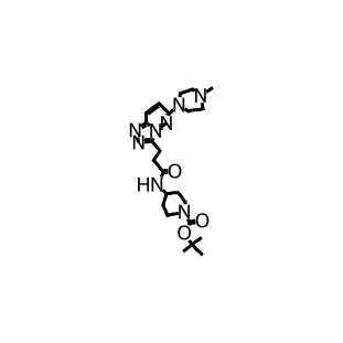 CN1CCN(c2ccc3nnc(CCC(=O)NC4CCN(C(=O)OC(C)(C)C)CC4)n3n2)CC1